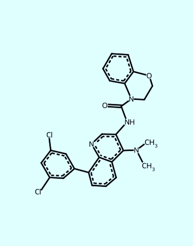 CN(C)c1c(NC(=O)N2CCOc3ccccc32)cnc2c(-c3cc(Cl)cc(Cl)c3)cccc12